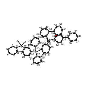 CC1(C)c2ccccc2-c2ccc(C3(c4ccccc4)c4ccccc4-c4ccc(N(c5ccc(-c6ccccc6)cc5)c5ccccc5-c5ccccc5)cc43)cc21